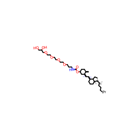 C=C1CC[C@H](OC(=O)NCCCOCCOCCOCCOCC(O)CO)C/C1=C/C=C1\CCC[C@@]2(C)C1CC[C@@H]2[C@H](C)CCCC(C)C